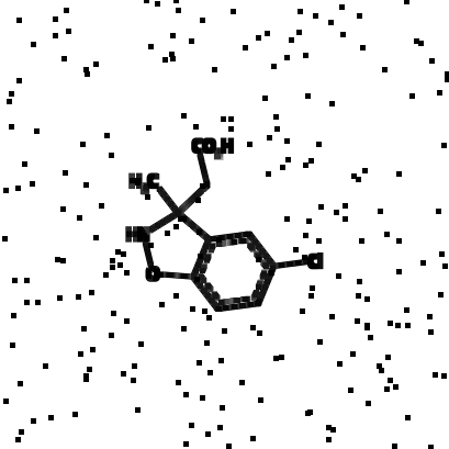 CC1(CC(=O)O)NOc2ccc(Cl)cc21